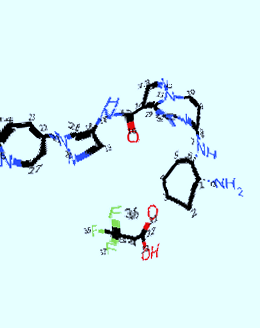 N[C@@H]1CCCC[C@@H]1Nc1ccn2ncc(C(=O)Nc3cnn(-c4cccnc4)c3)c2n1.O=C(O)C(F)(F)F